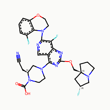 N#CC[C@H]1CN(c2nc(OC[C@@]34CCCN3C[C@H](F)C4)nc3c(F)c(N4CCOc5cccc(F)c54)ncc23)CCN1C(=O)O